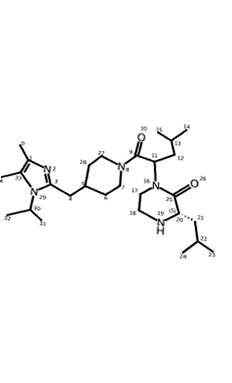 Cc1nc(CC2CCN(C(=O)C(CC(C)C)N3CCN[C@@H](CC(C)C)C3=O)CC2)n(C(C)C)c1C